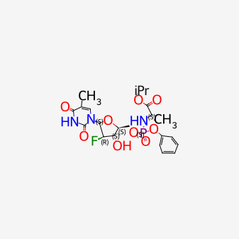 Cc1cn([C@H]2O[C@@H](CO[P@@](=O)(N[C@@H](C)C(=O)OC(C)C)Oc3ccccc3)[C@H](O)[C@H]2F)c(=O)[nH]c1=O